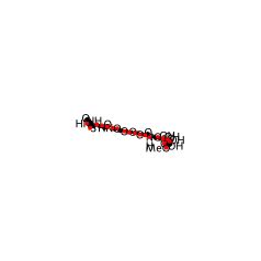 CO[C@@H]1OC([C@H](O)COCCNC(=O)CCOCCOCCOCCOCCNC(=O)CCCCC2SCC3NC(=O)NC32)[C@@H](O)C(O)C1O